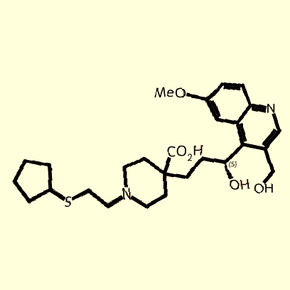 COc1ccc2ncc(CO)c([C@@H](O)CCC3(C(=O)O)CCN(CCSC4CCCC4)CC3)c2c1